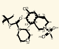 CC(C)(C)OC(=O)N1CCOC[C@H]1c1cc(Cl)cc2c1CN(S(C)(=O)=O)CC2